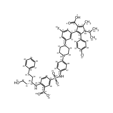 Cc1c(C(=O)O)c(-c2cc(F)cc(N3CCN(c4ccc(NS(=O)(=O)c5ccc(N[C@H](CCO)CSc6ccccc6)c([N+](=O)[O-])c5)cc4)CC3)c2)c(-c2ccc(Cl)cc2)n1C(C)C